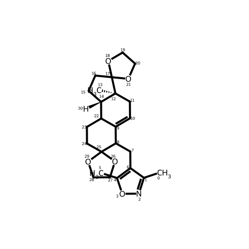 Cc1noc(C)c1CC1C2=CC[C@@]3(C)[C@@H](CCC34OCCO4)C2CCC12OCCO2